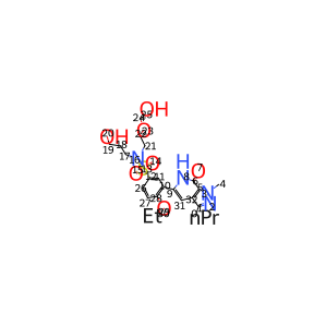 CCCc1nn(C)c2c(=O)[nH]c(-c3cc(S(=O)(=O)N(CCCO)CCOCO)ccc3OCC)cc12